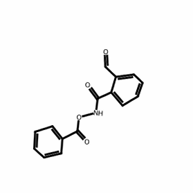 O=Cc1ccccc1C(=O)NOC(=O)c1ccccc1